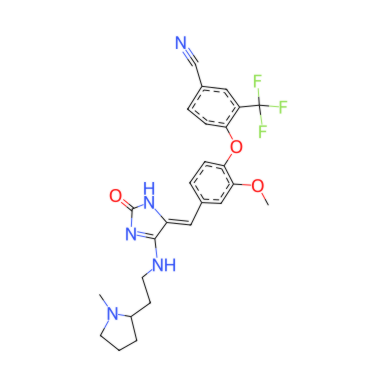 COc1cc(/C=C2\NC(=O)N=C2NCCC2CCCN2C)ccc1Oc1ccc(C#N)cc1C(F)(F)F